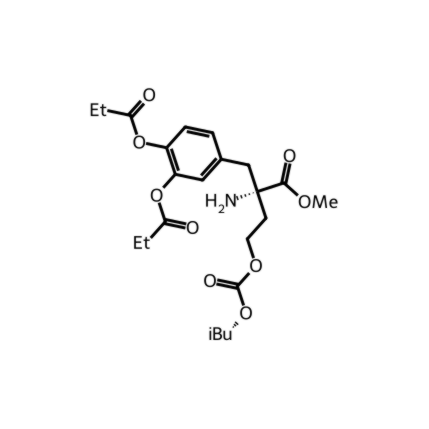 CCC(=O)Oc1ccc(C[C@](N)(CCOC(=O)O[C@@H](C)CC)C(=O)OC)cc1OC(=O)CC